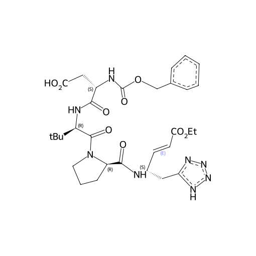 CCOC(=O)/C=C/[C@H](Cc1nnn[nH]1)NC(=O)[C@H]1CCCN1C(=O)[C@H](NC(=O)[C@H](CC(=O)O)NC(=O)OCc1ccccc1)C(C)(C)C